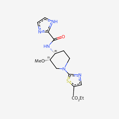 CCOC(=O)c1cnc(N2CC[C@@H](NC(=O)c3ncc[nH]3)[C@@H](OC)C2)s1